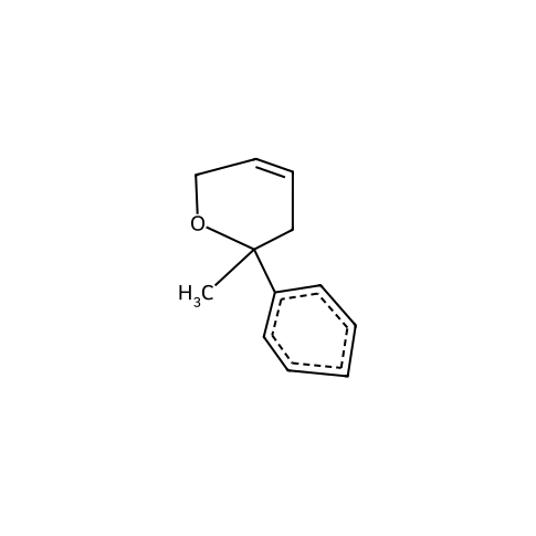 CC1(c2ccccc2)CC=CCO1